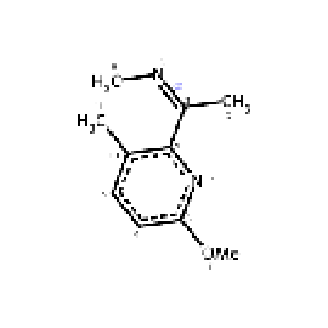 C/N=C(/C)c1nc(OC)ccc1C